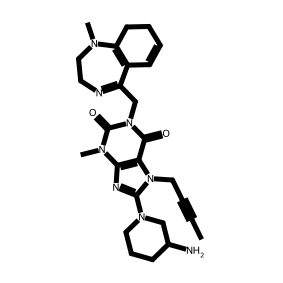 CC#CCn1c(N2CCCC(N)C2)nc2c1c(=O)n(CC1=NCCN(C)C3=C1C=CCC3)c(=O)n2C